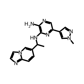 CC(Nc1nc(-c2cnn(C)c2)cnc1N)c1ccc2nccn2c1